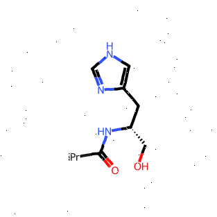 CC(C)C(=O)N[C@@H](CO)Cc1c[nH]cn1